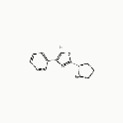 Cl.c1ccc(-c2coc([C@@H]3CCCN3)n2)cc1